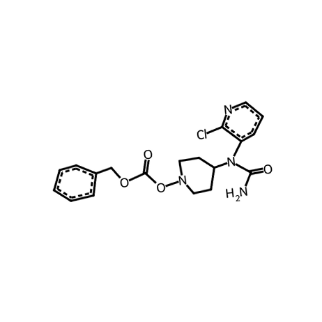 NC(=O)N(c1cccnc1Cl)C1CCN(OC(=O)OCc2ccccc2)CC1